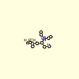 CC1(C)c2ccccc2-c2c1cc(-c1ccc(-c3cc(-c4cccc(-c5ccccn5)c4)cc(-c4nc(-c5ccc6ccccc6c5)nc(-c5ccc6ccccc6c5)n4)c3)cc1)c1ccccc21